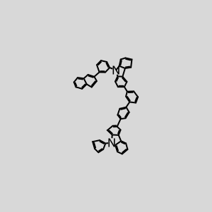 c1ccc(-n2c3ccccc3c3cc(-c4ccc(-c5cccc(-c6ccc7c(c6)c6ccccc6n7-c6cccc(-c7ccc8ccccc8c7)c6)c5)cc4)ccc32)cc1